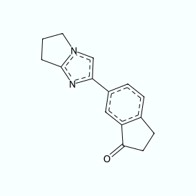 O=C1CCc2ccc(-c3cn4c(n3)CCC4)cc21